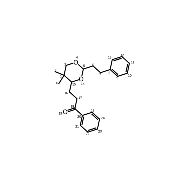 CC1(C)COC(CCc2ccccc2)OC1CCC(=O)c1ccccc1